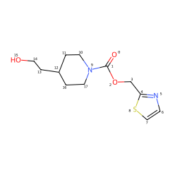 O=C(OCc1nccs1)N1CCC(CCO)CC1